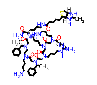 C=C1N[C@H]2CSC(CCCCC(=O)NCCCC[C@H](NC(=O)CN(CCN(CCCCN)C(=O)CN(C(=O)CN(CCCCNC(=N)N)C(=O)CN(CCCCN)C(=O)CN(CCCCN)C(C)=O)[C@@H](C)c3ccccc3)[C@@H](C)c3ccccc3)C(N)=O)[C@H]2N1